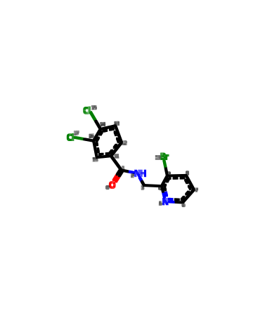 O=C(NCc1ncccc1Br)c1ccc(Cl)c(Cl)c1